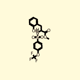 COC(=O)C(Cc1ccccc1O)NS(=O)(=O)c1ccc(OC(F)(F)F)cc1